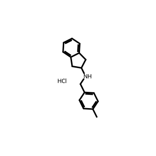 Cc1ccc(CNC2Cc3ccccc3C2)cc1.Cl